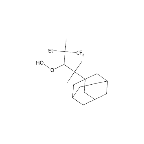 CCC(C)(C(OO)C(C)(C)C12CC3CC(CC(C3)C1)C2)C(F)(F)F